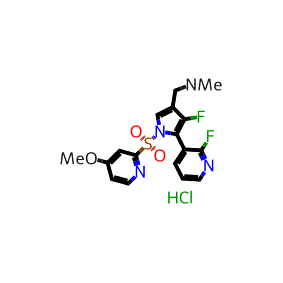 CNCc1cn(S(=O)(=O)c2cc(OC)ccn2)c(-c2cccnc2F)c1F.Cl